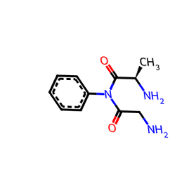 C[C@@H](N)C(=O)N(C(=O)CN)c1ccccc1